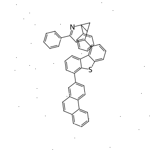 C1=C(c2cccc3sc4c(-c5ccc6c(ccc7ccccc76)c5)cccc4c23)C2CC2(c2ccccc2)N=C1c1ccccc1